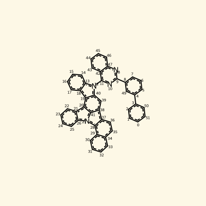 c1ccc(-c2cccc(-c3nc(-n4c5ccccc5c5c6c7ccccc7n7c8c9ccccc9ccc8c(cc54)c67)c4ccccc4n3)c2)cc1